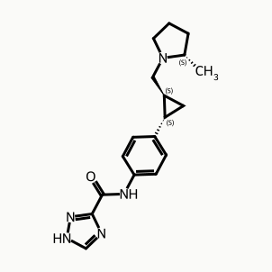 C[C@H]1CCCN1C[C@H]1C[C@@H]1c1ccc(NC(=O)c2nc[nH]n2)cc1